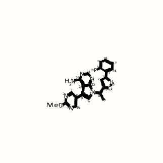 COc1ncc(-c2cn(C(C)c3cc(-c4ccccc4F)no3)c3ncnc(N)c23)cn1